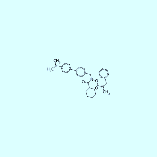 CN(Cc1ccccc1)C(=O)ON(Cc1ccc(-c2ccc(N(C)C)cc2)cc1)C(=O)C1CCCCC1